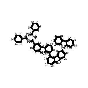 c1ccc(-c2nc(-c3ccccc3)nc(-c3ccc4sc5c(-c6cccc7oc8ccc(-n9c%10ccccc%10c%10ccccc%109)cc8c67)cccc5c4c3)n2)cc1